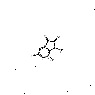 CCCN1C(=O)C(=O)c2cc(Cl)cc(Cl)c21